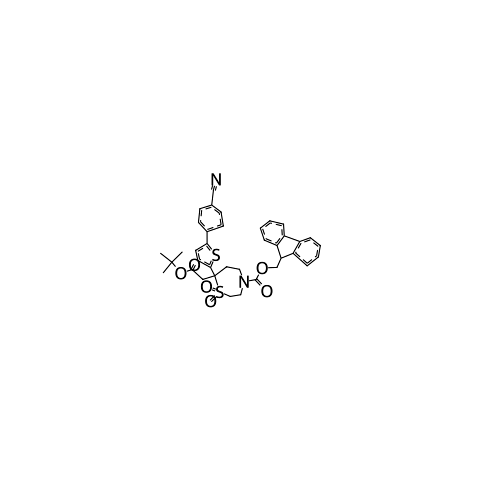 CC(C)(C)OC(=O)CC1(c2ccc(-c3ccc(C#N)cc3)s2)CCN(C(=O)OCC2c3ccccc3-c3ccccc32)CCS1(=O)=O